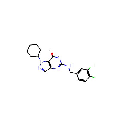 O=c1[nH]c(NCc2ccc(Cl)c(Cl)c2)nc2cnn(C3CCCCC3)c12